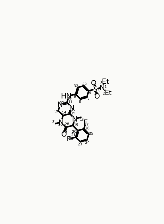 CCN(CC)S(=O)(=O)c1ccc(NC2=NCC3C(=N2)N(C)C(c2c(F)cccc2F)C(=O)N3C)cc1